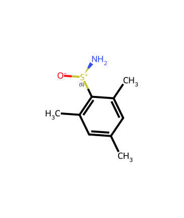 Cc1cc(C)c([S@+](N)[O-])c(C)c1